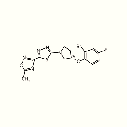 Cc1nc(-c2nnc(N3CC[C@H](Oc4ccc(F)cc4Br)C3)s2)no1